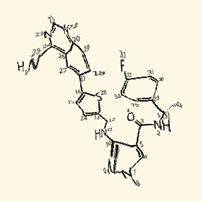 C[C@H](NC(=O)c1cn(C)nc1NCc1ccc(-c2ccc3ncnc(N)c3c2)s1)c1ccc(F)cc1